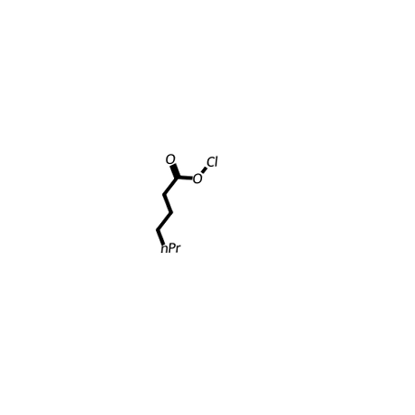 CCCCCCC(=O)OCl